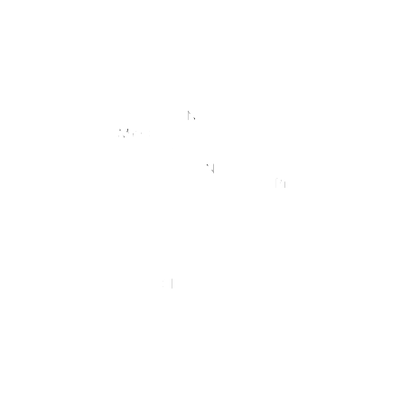 COc1ncc(CBr)nc1-c1cccc(Cl)c1